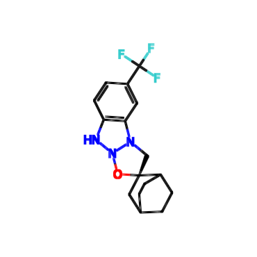 FC(F)(F)c1ccc2c(c1)N1C[C@@]3(CC4CCC3CC4)ON1N2